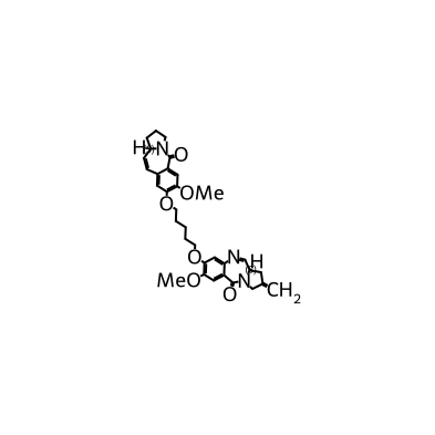 C=C1C[C@H]2C=Nc3cc(OCCCCCOc4cc5c(cc4OC)C(=O)N4CCC[C@H]4C=C5)c(OC)cc3C(=O)N2C1